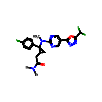 CCN(CC)C(=O)CC1CC1(c1ccc(F)cc1)N(C(=O)O)c1ncc(-c2nnc(C(F)F)o2)cn1